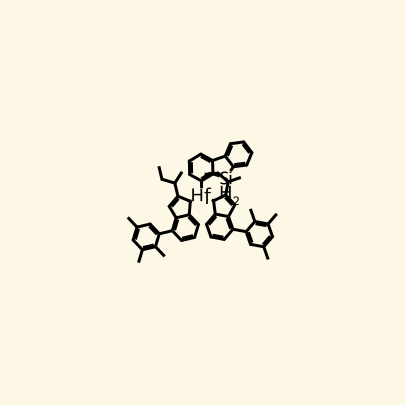 CCC(C)C1=Cc2c(-c3cc(C)cc(C)c3C)cccc2[CH]1[Hf]([c]1cccc2c1[SiH2]c1ccccc1-2)[CH]1C(C(C)CC)=Cc2c(-c3cc(C)cc(C)c3C)cccc21